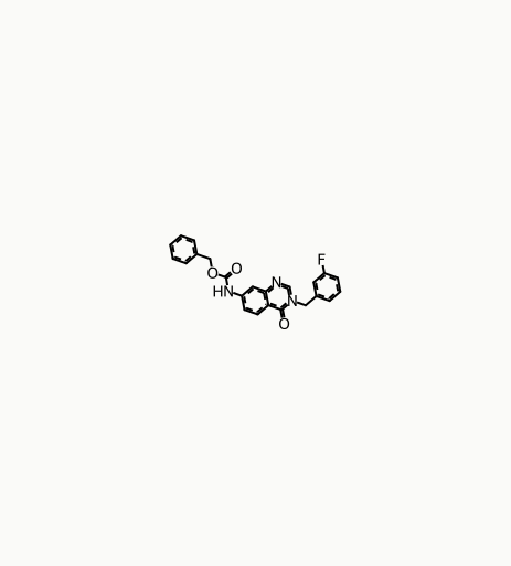 O=C(Nc1ccc2c(=O)n(Cc3cccc(F)c3)cnc2c1)OCc1ccccc1